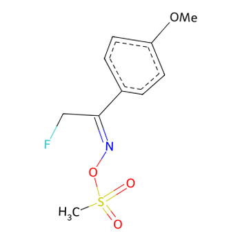 COc1ccc(C(CF)=NOS(C)(=O)=O)cc1